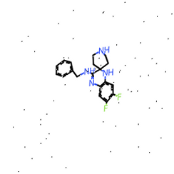 Fc1cc2c(cc1F)NC1(CCNCC1)C(NCc1ccccc1)=N2